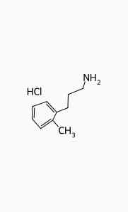 Cc1ccccc1CCCN.Cl